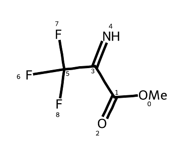 COC(=O)C(=N)C(F)(F)F